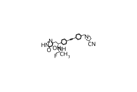 C[C@@H](CF)NC[C@@H](Cc1nc[nH]c(=O)c1O)c1ccc(C#Cc2ccc(CN3CC[C@H](C#N)C3)cc2)cc1